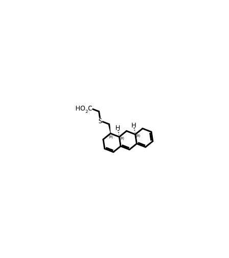 O=C(O)CSC[C@@H]1CC=CC2=CC3=CC=CC[C@@H]3C[C@@H]21